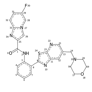 O=C(Nc1ccccc1-c1nc2cc(CN3CCOCC3)cnc2s1)c1cn2cc(F)ccc2n1